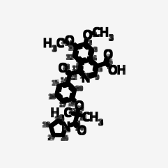 COc1cc2c(C(=O)O)cnc(C(=O)c3cccc(OC(C)(C)C(=O)N4CCCC4)c3)c2cc1OC